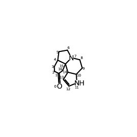 O=C1CCC2CCN3CCC4NC=CC4C23C1